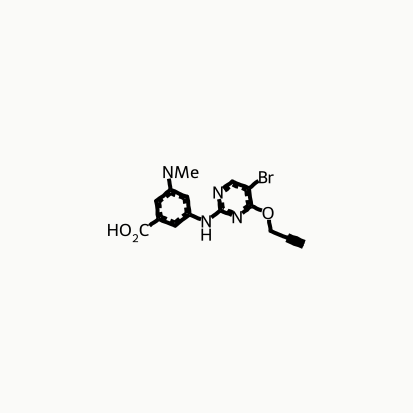 C#CCOc1nc(Nc2cc(NC)cc(C(=O)O)c2)ncc1Br